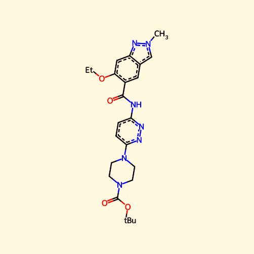 CCOc1cc2nn(C)cc2cc1C(=O)Nc1ccc(N2CCN(C(=O)OC(C)(C)C)CC2)nn1